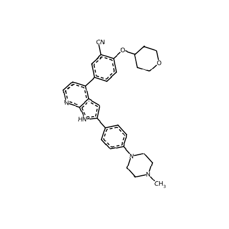 CN1CCN(c2ccc(-c3cc4c(-c5ccc(OC6CCOCC6)c(C#N)c5)ccnc4[nH]3)cc2)CC1